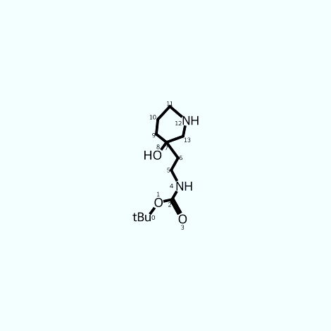 CC(C)(C)OC(=O)NCCC1(O)CCCNC1